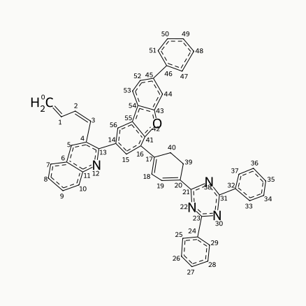 C=C/C=C\c1cc2ccccc2nc1-c1cc(C2=CC=C(c3nc(-c4ccccc4)nc(-c4ccccc4)n3)CC2)c2oc3cc(-c4ccccc4)ccc3c2c1